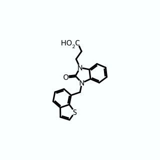 O=C(O)CCn1c(=O)n(Cc2cccc3ccsc23)c2ccccc21